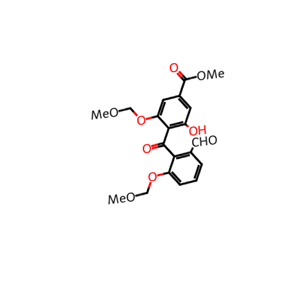 COCOc1cc(C(=O)OC)cc(O)c1C(=O)c1c(C=O)cccc1OCOC